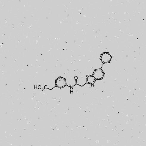 O=C(O)Cc1cccc(NC(=O)Cc2nc3ccc(-c4ccccc4)cc3s2)c1